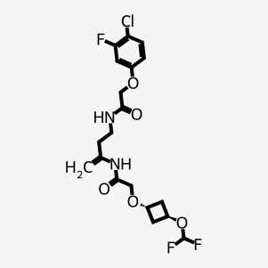 C=C(CCNC(=O)COc1ccc(Cl)c(F)c1)NC(=O)CO[C@H]1C[C@H](OC(F)F)C1